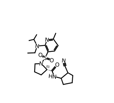 CCN(c1nc(C)ccc1S(=O)(=O)N1CCC[C@H]1C(=O)NC1CCCC1C#N)C(C)C